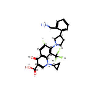 NCc1ccccc1C1CCN(c2c(F)cc3c(=O)c(C(=O)O)cn(C4CC4)c3c2C(F)(F)F)C1